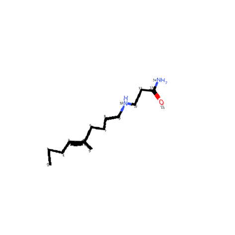 CCC/C=C(\C)CCCCNCCC(N)=O